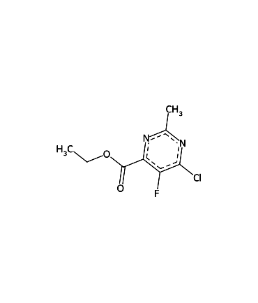 CCOC(=O)c1nc(C)nc(Cl)c1F